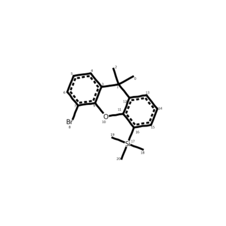 CC1(C)c2cccc(Br)c2Oc2c1cccc2[Si](C)(C)C